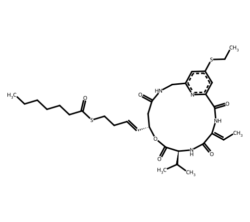 C/C=C1\NC(=O)c2cc(SCC)cc(n2)CNC(=O)C[C@@H](/C=C/CCSC(=O)CCCCCC)OC(=O)[C@H](C(C)C)NC1=O